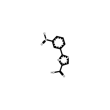 O=C(O)c1csc(-c2cccc([N+](=O)[O-])c2)n1